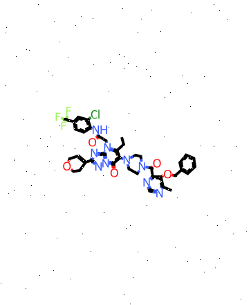 CCc1c(N2CCN(C(=O)c3ncnc(C)c3OCc3ccccc3)CC2)c(=O)n2nc(C3=CCOCC3)nc2n1CC(=O)Nc1ccc(C(F)(F)F)cc1Cl